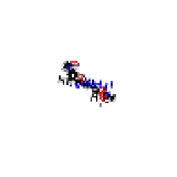 CC1(NC(=O)O[C@H]2CCC(c3cc(NC(=O)Cc4ccc(N5CCCC5=O)cc4C#N)n[nH]3)C2)CC1